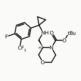 CC(C)(C)OC(=O)N1CCOC[C@H]1CNC1(c2ccc(F)c(C(F)(F)F)c2)CC1